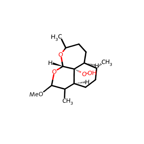 COC1O[C@@H]2OC(C)CC[C@H]3[C@H](C)CC[C@@H](C1C)[C@@]23OO